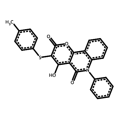 Cc1ccc(Sc2c(O)c3c(=O)n(-c4ccccc4)c4ccccc4c3oc2=O)cc1